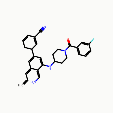 C=C/C=c1/cc(C2C=C(C#N)C=CC2)cc(NC2CCN(C(=O)c3cccc(F)c3)CC2)/c1=C/N